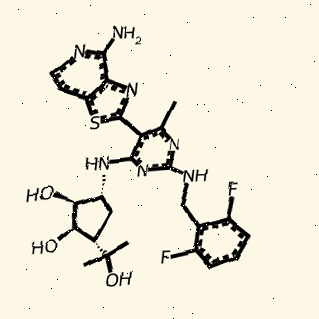 Cc1nc(NCc2c(F)cccc2F)nc(N[C@@H]2C[C@H](C(C)(C)O)[C@@H](O)[C@H]2O)c1-c1nc2c(N)nccc2s1